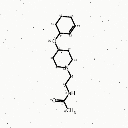 CC(=O)NCCN1CCC(OC2C=CCCC2)CC1